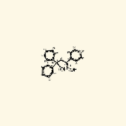 ON=C(CC(O)(c1ccccc1)c1ccccc1)c1ccncc1